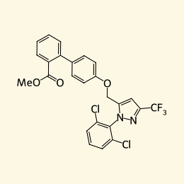 COC(=O)c1ccccc1-c1ccc(OCc2cc(C(F)(F)F)nn2-c2c(Cl)cccc2Cl)cc1